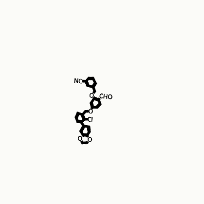 N#Cc1cccc(COc2cc(OCc3cccc(-c4ccc5c(c4)OCCO5)c3Cl)ccc2C=O)c1